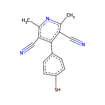 Cc1nc(C)c(C#N)c(-c2ccc(S)cc2)c1C#N